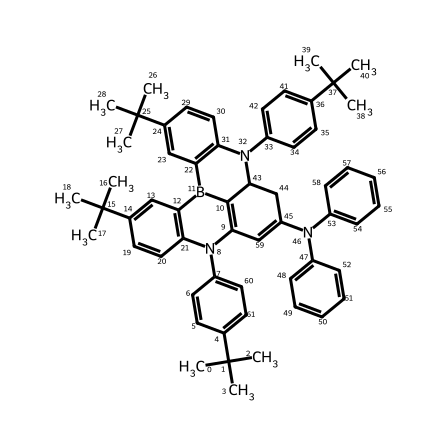 CC(C)(C)c1ccc(N2C3=C4B(c5cc(C(C)(C)C)ccc52)c2cc(C(C)(C)C)ccc2N(c2ccc(C(C)(C)C)cc2)C4CC(N(c2ccccc2)c2ccccc2)=C3)cc1